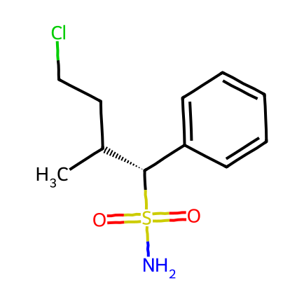 CC(CCCl)[C@H](c1ccccc1)S(N)(=O)=O